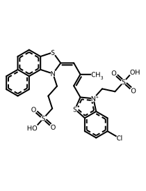 CC(=Cc1sc2ccc(Cl)cc2[n+]1CCS(=O)(=O)O)C=C1Sc2ccc3ccccc3c2N1CCCS(=O)(=O)O